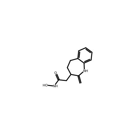 C=C1Nc2ccccc2CCC1CC(=O)NO